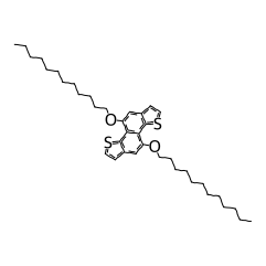 CCCCCCCCCCCCOc1cc2ccsc2c2c(OCCCCCCCCCCCC)cc3ccsc3c12